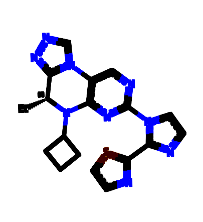 CC[C@@H]1c2nncn2-c2cnc(-n3ccnc3-c3nccs3)nc2N1C1CCC1